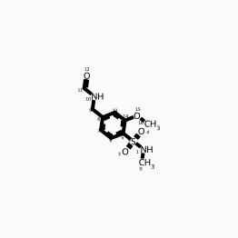 CNS(=O)(=O)c1ccc(CNC=O)cc1OC